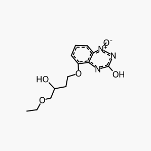 CCOCC(O)CCOc1cccc2c1nc(O)n[n+]2[O-]